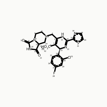 O=C(O)C1=C(CN2CCN3C(=O)NC(=O)[C@@H]3C2)NC(c2nccs2)=N[C@H]1c1ccc(F)cc1Cl